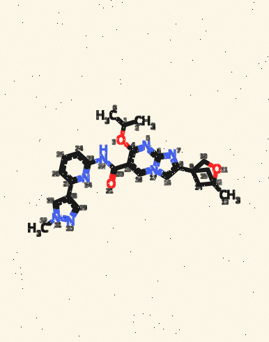 CC(C)Oc1nc2nc(C34COC(C)(C3)C4)cn2cc1C(=O)Nc1cccc(-c2cnn(C)c2)n1